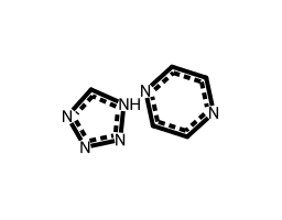 c1cnccn1.c1nnn[nH]1